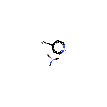 CCCc1ccncc1.CN(C)C